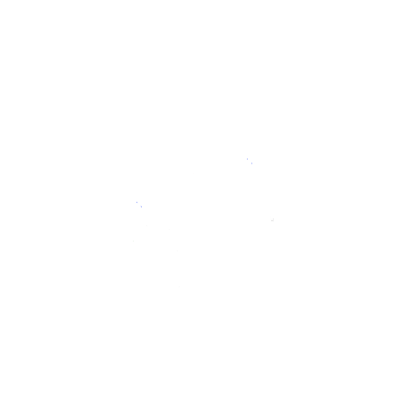 CC(C)(C)OC(=O)N1CCCC1COc1cnc(Cl)c(-c2cccs2)c1